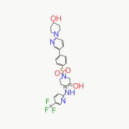 O=S(=O)(c1ccc(-c2ccc(N3CCC(O)CC3)nc2)cc1)N1CC[C@@H](Nc2ccc(C(F)(F)F)cn2)[C@@H](O)C1